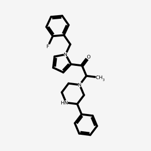 CC(C(=O)c1cccn1Cc1ccccc1F)N1CCNC(c2ccccc2)C1